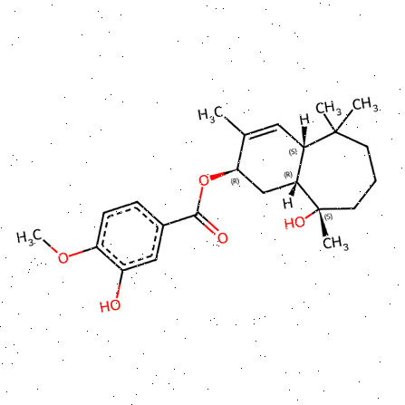 COc1ccc(C(=O)O[C@@H]2C[C@@H]3[C@H](C=C2C)C(C)(C)CCC[C@]3(C)O)cc1O